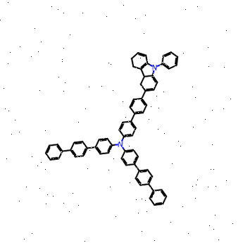 C1=CC2=C(CC1)C1CC(c3ccc(-c4ccc(N(c5ccc(-c6ccc(-c7ccccc7)cc6)cc5)c5ccc(-c6ccc(-c7ccccc7)cc6)cc5)cc4)cc3)=CC=C1N2c1ccccc1